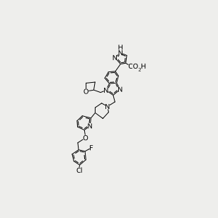 O=C(O)c1c[nH]nc1-c1ccc2c(c1)nc(CN1CCC(c3cccc(OCc4ccc(Cl)cc4F)n3)CC1)n2CC1CCO1